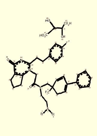 CCN(CC)CCN(CC1(C(F)(F)F)C=CC(c2ccccc2)=CC1)C(=O)Cn1c(CCc2ccc(F)cc2)nc(=O)c2c1CCC2.O=C(O)C(O)C(O)C(=O)O